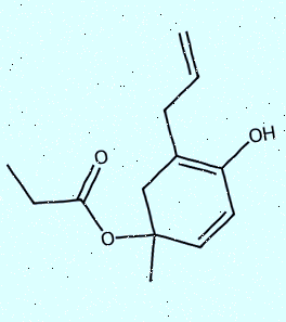 C=CCC1=C(O)C=CC(C)(OC(=O)CC)C1